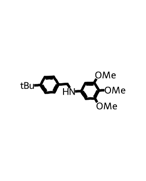 COc1cc(NCc2ccc(C(C)(C)C)cc2)cc(OC)c1OC